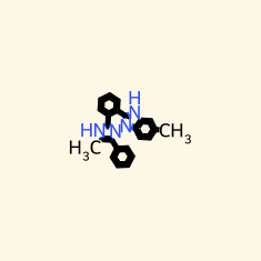 Cc1ccc2nc(-c3ccccc3-c3nc(-c4ccccc4)c(C)[nH]3)[nH]c2c1